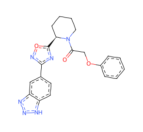 O=C(COc1ccccc1)N1CCCC[C@@H]1c1nc(-c2ccc3[nH]nnc3c2)no1